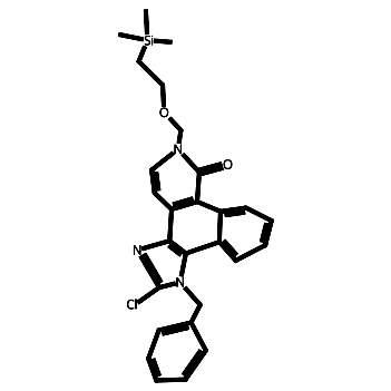 C[Si](C)(C)CCOCn1ccc2c3nc(Cl)n(Cc4ccccc4)c3c3ccccc3c2c1=O